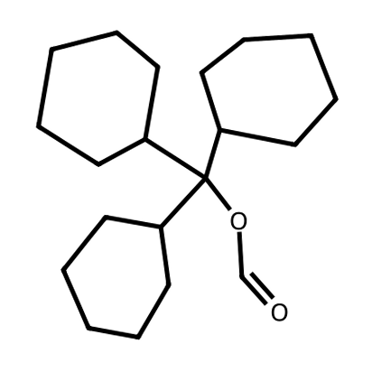 O=COC(C1CCCCC1)(C1CCCCC1)C1CCCCC1